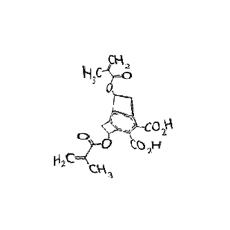 C=C(C)C(=O)OC1Cc2c(C(=O)O)c(C(=O)O)c3c(c21)CC3OC(=O)C(=C)C